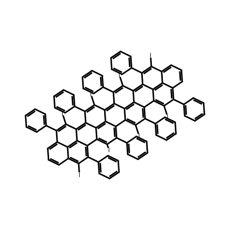 Ic1c(-c2ccccc2)c2c3c(I)c(-c4ccccc4)c4c5c(I)c(-c6ccccc6)c6c7c(I)c(-c8ccccc8)c8cccc9c(I)c(-c%10ccccc%10)c(c%10c(I)c(-c%11ccccc%11)c(c%11c(I)c(-c%12ccccc%12)c(c%12c(I)c(-c%13ccccc%13)c%13cccc1c%13c2%12)c3c%114)c5c%106)c7c98